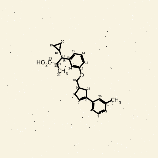 Cc1cccc(C2=CCC(COc3cccc([C@H](C4CC4)[C@H](C)C(=O)O)c3)C2)c1